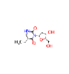 CCc1c[nH]c(=O)n([C@H]2C[C@H](O)[C@@H](CO)O2)c1=O